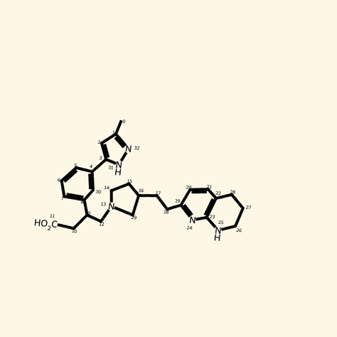 Cc1cc(-c2cccc(C(CC(=O)O)CN3CCC(CCc4ccc5c(n4)NCCC5)C3)c2)[nH]n1